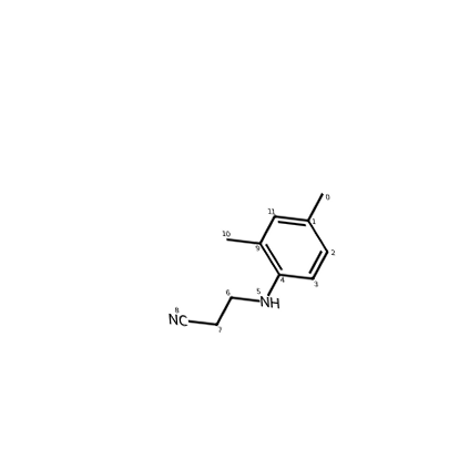 Cc1ccc(NCCC#N)c(C)c1